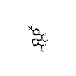 CCN(C(=O)c1ccc(C(F)(F)F)nc1)c1ccncc1C(=O)OC